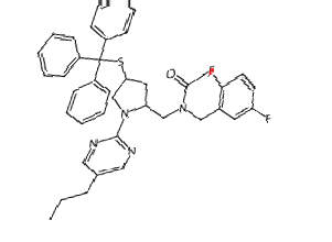 CCCc1cnc(N2CC(SC(c3ccccc3)(c3ccccc3)c3ccccc3)CC2CN(Cc2cc(F)ccc2F)C(C)=O)nc1